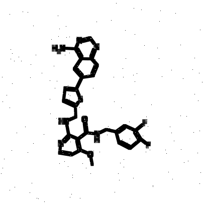 COc1ccnc(NCc2ccc(-c3ccc4ncnc(N)c4c3)s2)c1C(=O)NCc1ccc(F)c(F)c1